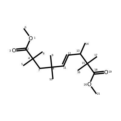 COC(=O)C(C)(C)CC(C)(C)C=CC(C)C(C)(C)C(=O)OC